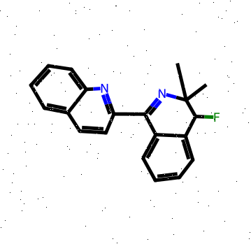 CC1(C)N=C(c2ccc3ccccc3n2)c2ccccc2C1F